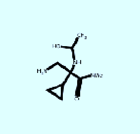 CNC(=O)C(CN)(NC(C)O)C1CC1